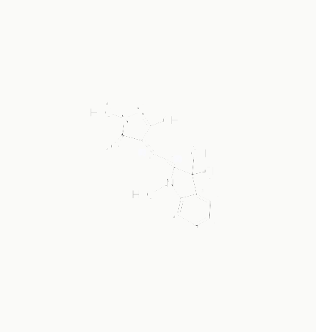 CC1=NN(C)C(=O)/C1=C/C=C1\N(C)c2ccccc2C1(C)C